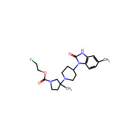 Cc1ccc2c(c1)[nH]c(=O)n2C1CCN(C2(C)CCN(C(=O)OCCF)C2)CC1